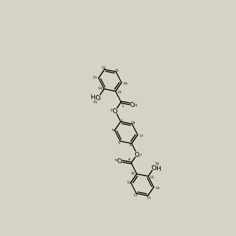 O=C(Oc1ccc(OC(=O)c2ccccc2O)cc1)c1ccccc1O